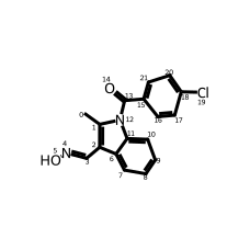 Cc1c(C=NO)c2ccccc2n1C(=O)c1ccc(Cl)cc1